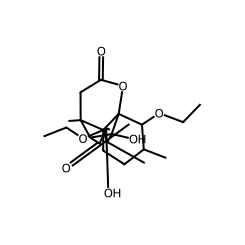 CCOC1C(C)CCC2(OCC)C3(C)CC(=O)OC12C1(O)C(C)=C(O)C(=O)C31